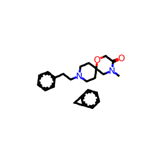 CN1CC2(CCN(CCc3ccccc3)CC2)OCC1=O.c1ccc2c(c1)C2